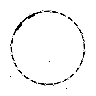 [C]1=C/C=C\CCCCCCCCCCCCCCCCCCCCCCCC1